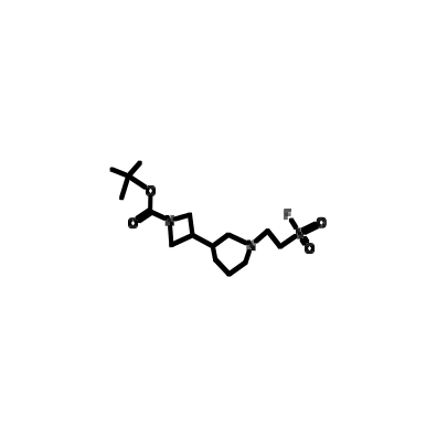 CC(C)(C)OC(=O)N1CC(C2CCCN(CCS(=O)(=O)F)C2)C1